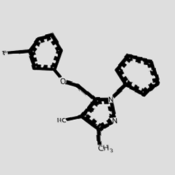 Cc1nn(-c2ccccc2)c(COc2cccc(F)c2)c1C#N